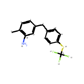 Cc1ccc(Cc2ccc(SC(F)(F)F)cc2)cc1N